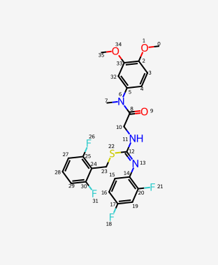 COc1ccc(N(C)C(=O)CNC(=Nc2ccc(F)cc2F)SCc2c(F)cccc2F)cc1OC